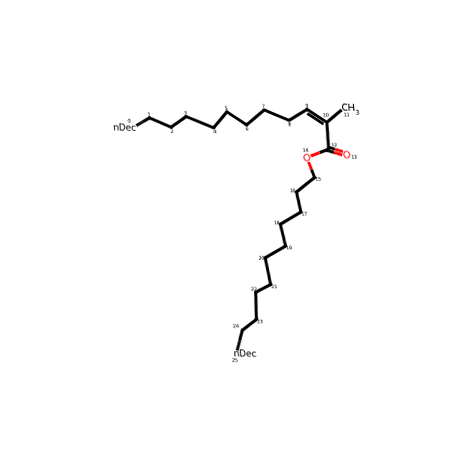 CCCCCCCCCCCCCCCCCCC=C(C)C(=O)OCCCCCCCCCCCCCCCCCCCC